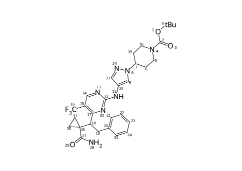 CC(C)(C)OC(=O)N1CCC(n2cc(Nc3ncc(C(F)(F)F)c(C(Cc4ccccc4)C4(C(N)=O)CC4)n3)cn2)CC1